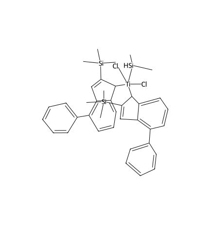 C[SiH](C)[Ti]([Cl])([Cl])([CH]1C([Si](C)(C)C)=Cc2c(-c3ccccc3)cccc21)[CH]1C([Si](C)(C)C)=Cc2c(-c3ccccc3)cccc21